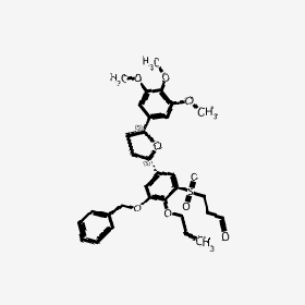 CCCOc1c(OCc2ccccc2)cc([C@@H]2CC[C@@H](c3cc(OC)c(OC)c(OC)c3)O2)cc1S(=O)(=O)CCC=O